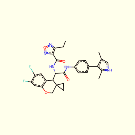 CCc1nonc1C(=O)N[C@H](C(=O)Nc1ccc(-c2c(C)c[nH]c2C)cc1)C1c2cc(F)c(F)cc2OCC12CC2